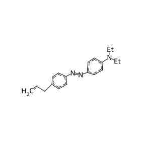 C=CCc1ccc(N=Nc2ccc(N(CC)CC)cc2)cc1